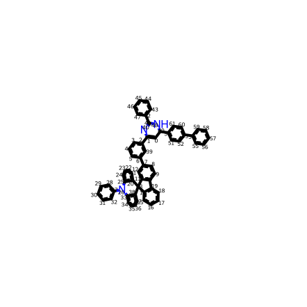 C1=C(c2cccc(-c3ccc4c(c3)C3(c5ccccc5-4)c4ccccc4N(c4ccccc4)c4ccccc43)c2)N=C(c2ccccc2)NC1c1ccc(-c2ccccc2)cc1